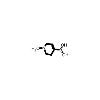 CN1CC=C(B(O)O)CC1